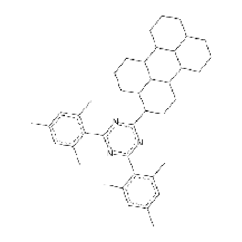 Cc1cc(C)c(-c2nc(-c3c(C)cc(C)cc3C)nc(C3CCC4C5CCCC6CCCC(C7CCCC3C74)C65)n2)c(C)c1